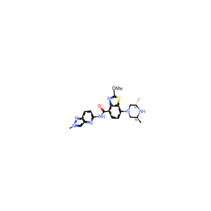 COc1nc2c(C(=O)Nc3ccc4nn(C)cc4n3)ccc(N3C[C@H](C)N[C@@H](C)C3)c2s1